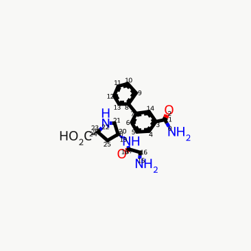 NC(=O)c1cccc(-c2ccccc2)c1.NCC(=O)N[C@@H]1CN[C@@H](C(=O)O)C1